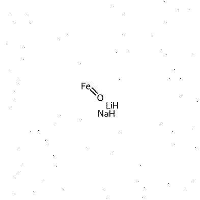 [LiH].[NaH].[O]=[Fe]